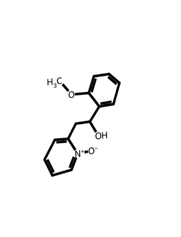 COc1ccccc1C(O)Cc1cccc[n+]1[O-]